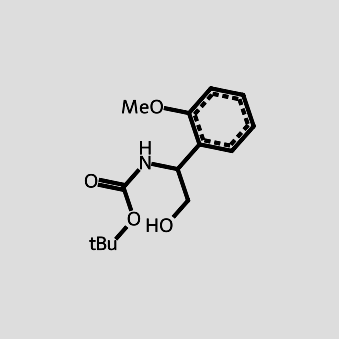 COc1ccccc1C(CO)NC(=O)OC(C)(C)C